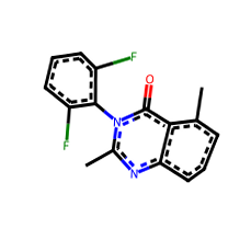 Cc1cccc2nc(C)n(-c3c(F)cccc3F)c(=O)c12